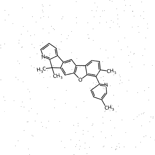 Cc1ccc(-c2c(C)ccc3c2oc2cc4c(cc23)-c2cccnc2C4(C)C)nc1